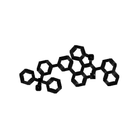 O=P(C1=CCCC(c2cccc(-c3cccc4nc(-c5cccc6ccccc56)c5oc6ccccc6c5c34)c2)=C1)(c1ccccc1)c1ccccc1